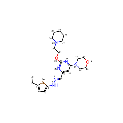 CCc1ccc(N/N=C/c2cc(N3CCOCC3)nc(OCCN3CCCCC3)n2)s1